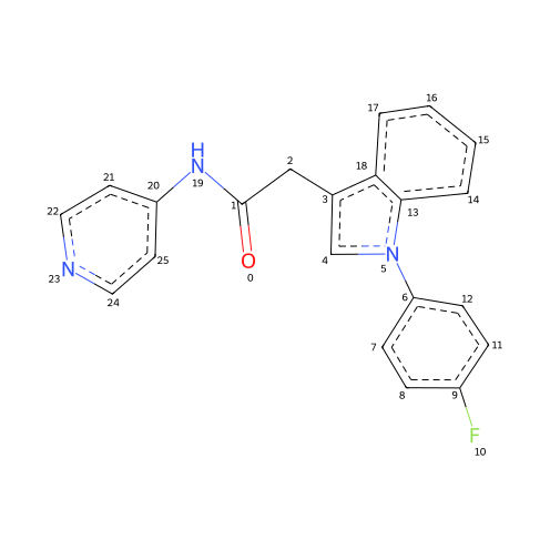 O=C(Cc1cn(-c2ccc(F)cc2)c2ccccc12)Nc1ccncc1